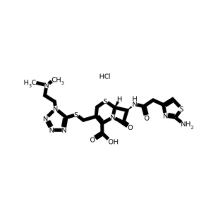 CN(C)CCn1nnnc1SCC1=C(C(=O)O)N2C(=O)[C@@H](NC(=O)Cc3csc(N)n3)[C@H]2SC1.Cl